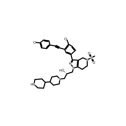 CS(=O)(=O)N1CCc2c(c(-c3ccc(Cl)c(C#Cc4ccc(Cl)cc4)c3)nn2C[C@@H](O)CN2CCC(C3CCNCC3)CC2)C1